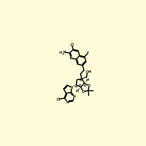 CC1(C)O[C@H]2[C@H](n3ccc4c(Cl)ncnc43)C[C@](CO)(CCc3cc(F)c4cc(Cl)c(N)nc4c3)[C@H]2O1